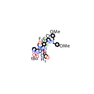 COc1ccc(CN(Cc2ccc(OC)cc2)c2cc(C)c(C(F)(F)F)c(-c3c(Cl)c4c5c(nc(OCC6(C)CCOCC6)nc5c3F)N([C@H](C)c3cccnc3NC(=O)OC(C)(C)C)CCO4)n2)cc1